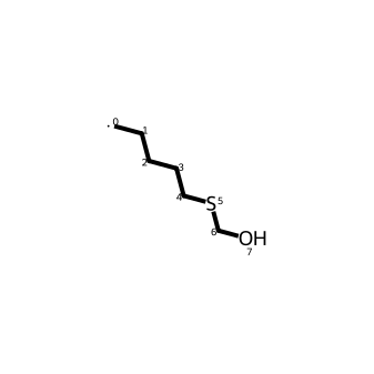 [CH2]CCCCSCO